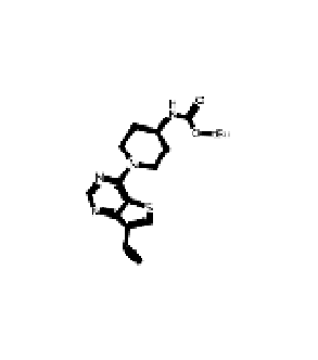 C=Cc1csc2c(N3CCC(NC(=O)OC(C)(C)C)CC3)ncnc12